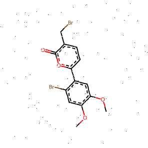 COc1cc(Br)c(-c2ccc(CBr)c(=O)o2)cc1OC